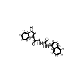 O=C(NCC(=O)c1c[nH]c2ccccc12)Nc1csc2ccccc12